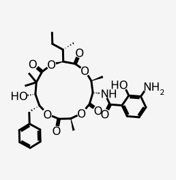 CC[C@H](C)[C@@H]1OC(=O)C(C)(C)[C@@H](O)[C@@H](Cc2ccccc2)OC(=O)[C@H](C)OC(=O)[C@@H](NC(=O)c2cccc(N)c2O)[C@H](C)OC1=O